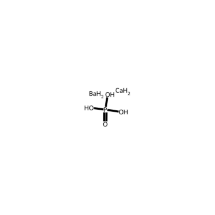 O=P(O)(O)O.[BaH2].[CaH2]